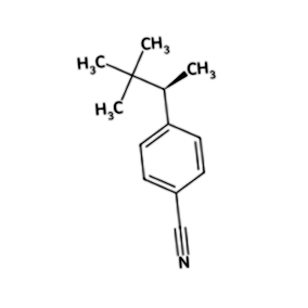 C[C@@H](c1ccc(C#N)cc1)C(C)(C)C